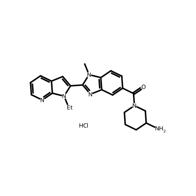 CCn1c(-c2nc3cc(C(=O)N4CCCC(N)C4)ccc3n2C)cc2cccnc21.Cl